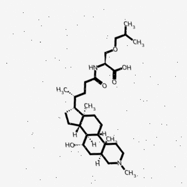 CC(C)COC[C@H](NC(=O)CC[C@@H](C)[C@H]1CC[C@H]2[C@@H]3[C@@H](O)C[C@@H]4CN(C)CC[C@]4(C)[C@H]3CC[C@]12C)C(=O)O